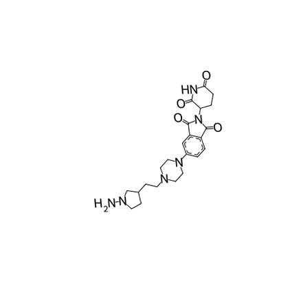 NN1CCC(CCN2CCN(c3ccc4c(c3)C(=O)N(C3CCC(=O)NC3=O)C4=O)CC2)C1